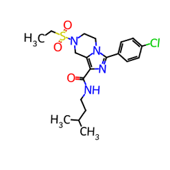 CCS(=O)(=O)N1CCn2c(-c3ccc(Cl)cc3)nc(C(=O)NCCC(C)C)c2C1